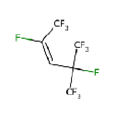 F/C(=C/C(F)(C(F)(F)F)C(F)(F)F)C(F)(F)F